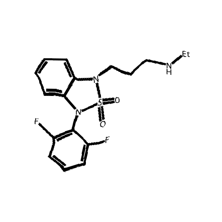 CCNCCCN1c2ccccc2N(c2c(F)cccc2F)S1(=O)=O